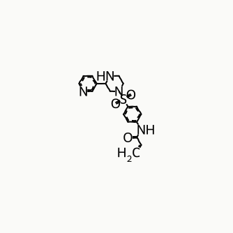 C=CC(=O)Nc1ccc(S(=O)(=O)N2CCNC(c3cccnc3)C2)cc1